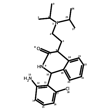 CC(C)N(CCC1C(=O)NC(c2c(N)cccc2Cl)c2ccccc21)C(C)C